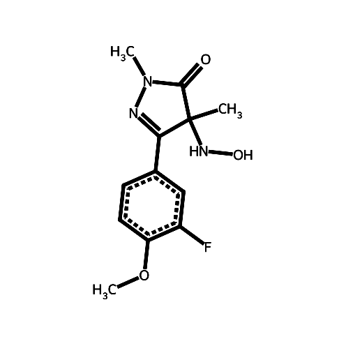 COc1ccc(C2=NN(C)C(=O)C2(C)NO)cc1F